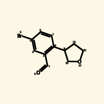 O=Cc1cc(Br)ccc1C1CCOC1